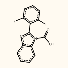 O=C(O)n1c(-c2c(F)cccc2F)nc2ccccc21